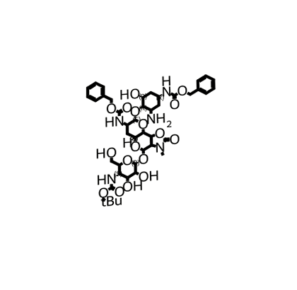 CN1C(=O)OC2C3O[C@H](O[C@@H]4C(N)C[C@@H](NC(=O)OCc5ccccc5)C[C@H]4O)C(NC(=O)OCc4ccccc4)C[C@@H]3OC(O[C@H]3OC(CO)[C@@H](NC(=O)OC(C)(C)C)C(O)C3O)C21